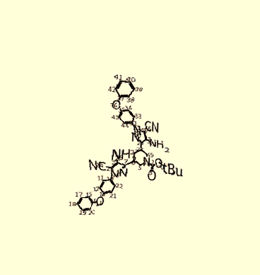 CC(C)(C)OC(=O)N1CC(c2nn(-c3ccc(Oc4ccccc4)cc3)c(C#N)c2N)CC(c2nn(-c3ccc(Oc4ccccc4)cc3)c(C#N)c2N)C1